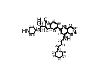 Cn1c(C(=O)NC2CCNCC2)cc2cc(-c3cc(NCCCN4CCCCC4)c4cnccc4n3)ccc21